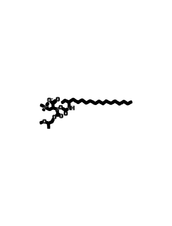 CCCCCCCCCCCCCCCC(CC)NC(=O)ON(C(=O)OCC(C)OC)C(C[N+](C)(C)C)C(=O)[O-]